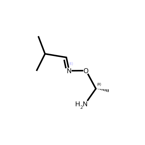 CC(C)/C=N/O[C@H](C)N